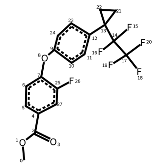 COC(=O)c1ccc(Oc2ccc(C3(C(F)(F)C(F)(F)F)CC3)cc2)c(F)c1